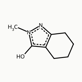 Cn1nc2c(c1O)CCCC2